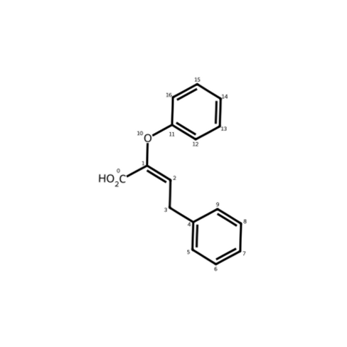 O=C(O)/C(=C\Cc1ccccc1)Oc1ccccc1